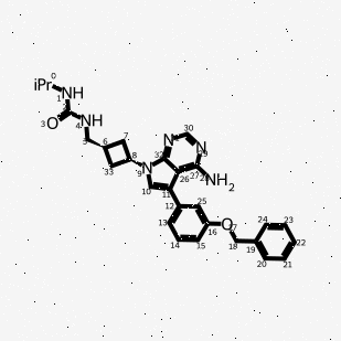 CC(C)NC(=O)NC[C@H]1C[C@@H](n2cc(-c3cccc(OCc4ccccc4)c3)c3c(N)ncnc32)C1